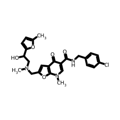 Cc1ccc(C(O)CN(C)Cc2cc3c(=O)c(C(=O)NCc4ccc(Cl)cc4)cn(C)c3o2)o1